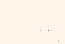 CC[C@]1(OC(=O)C(C)(C)C)O[C@@H](n2ccc(N)nc2=O)C[C@@H]1OC(=O)C(C)C